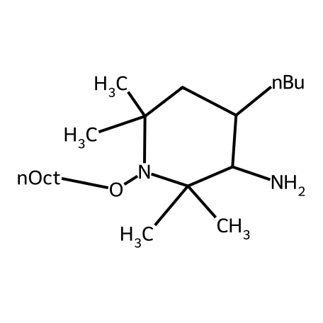 CCCCCCCCON1C(C)(C)CC(CCCC)C(N)C1(C)C